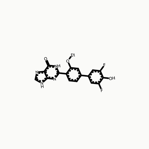 CCOc1cc(-c2cc(F)c(O)c(F)c2)ccc1-c1nc2[nH]cnc2c(=O)[nH]1